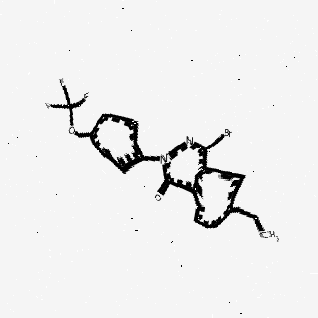 CCc1ccc2c(=O)n(-c3ccc(OC(F)(F)F)cc3)nc(Br)c2c1